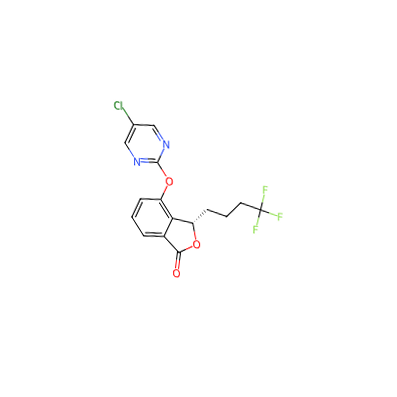 O=C1O[C@@H](CCCC(F)(F)F)c2c(Oc3ncc(Cl)cn3)cccc21